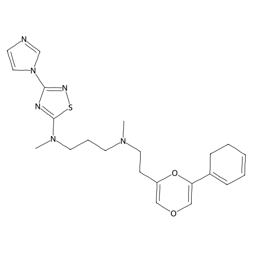 CN(CCCN(C)c1nc(-n2ccnc2)ns1)CCC1=COC=C(C2=CC=CCC2)O1